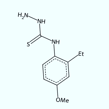 CCc1cc(OC)ccc1NC(=S)NN